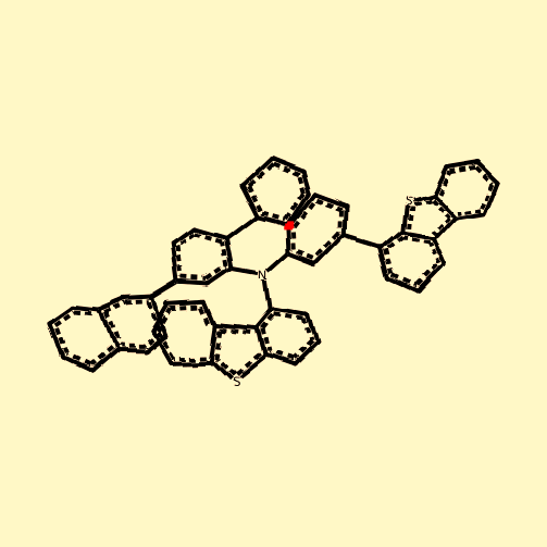 c1ccc(-c2ccc(-c3ccc4ccccc4c3)cc2N(c2cccc(-c3cccc4c3sc3ccccc34)c2)c2cccc3sc4ccccc4c23)cc1